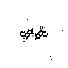 CC1=CC2C(=C1[Si](C)(C)C1=C3C=C(Br)C4=C(CCCC4)C3C=C1C)C=C(Br)C1=C2CCCC1